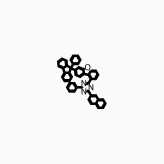 c1ccc(-c2nc(-c3ccc4ccccc4c3)nc(-c3cccc4oc5cc(C6(c7ccccc7)c7ccccc7-c7ccccc76)ccc5c34)n2)cc1